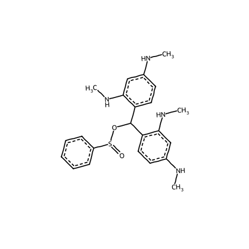 CNc1ccc(C(OS(=O)c2ccccc2)c2ccc(NC)cc2NC)c(NC)c1